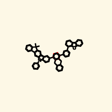 CC1(C)c2ccccc2-c2cc3c(cc21)c1cc(-c2ccc(-c4cccc(-c5cccc6c5oc5ccccc56)c4)c4c2C2c5ccccc5C4c4ccccc42)ccc1n3-c1ccccc1